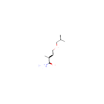 C/C(=C\COCC(C)C)C(N)=O